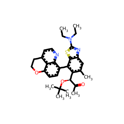 CCN(CC)c1nc2cc(C)c([C@H](OC(C)(C)C)C(C)=O)c(-c3ccc4c5c(ccnc35)CCO4)c2s1